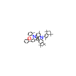 Cc1cc2c3c(c1)N(c1ccccc1C)c1c(ccc4c1oc1ccccc14)B3c1cc3c(cc1N2c1cc2c(cc1C)C(C)(C)CCC2(C)C)C(C)(C)CC3(C)C